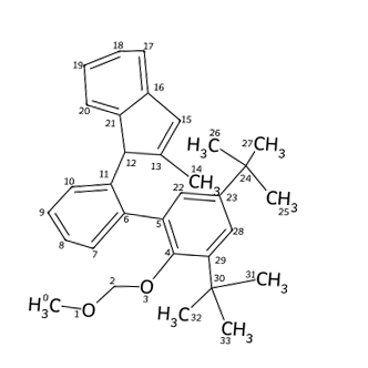 COCOc1c(-c2ccccc2C2C(C)=Cc3ccccc32)cc(C(C)(C)C)cc1C(C)(C)C